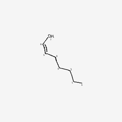 CCCCC/C=[C]\O